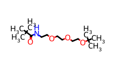 CC(C)(C)OCCOCCOCCNC(=O)C(C)(C)C